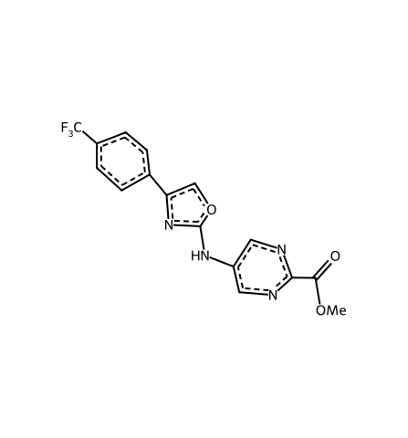 COC(=O)c1ncc(Nc2nc(-c3ccc(C(F)(F)F)cc3)co2)cn1